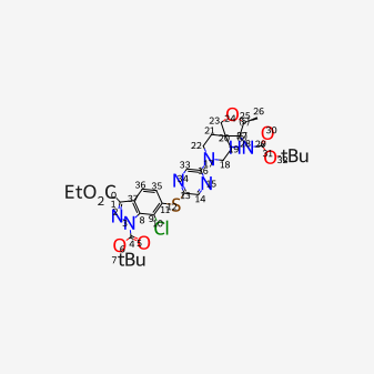 CCOC(=O)c1nn(C(=O)OC(C)(C)C)c2c(Cl)c(Sc3cnc(N4CCC5(CC4)CO[C@@H](C)[C@H]5NC(=O)OC(C)(C)C)cn3)ccc12